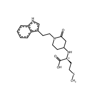 CSCC[C@H](NC1CCN(CCc2c[nH]c3ccccc23)C(=O)C1)C(=O)O